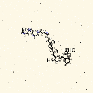 CC/C=C\C/C=C\C/C=C\C/C=C\C/C=C\CCCC(=O)OCOC(=O)CC1CN([C@H](COC=O)c2ccccc2Cl)CCC1S